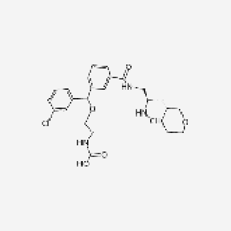 CN[C@@H](CNC(=O)c1cccc(C(OCCNC(=O)O)c2cccc(Cl)c2)c1)C[C@H]1CCCOC1